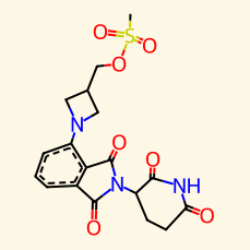 CS(=O)(=O)OCC1CN(c2cccc3c2C(=O)N(C2CCC(=O)NC2=O)C3=O)C1